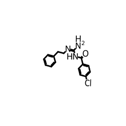 NC(=NCCc1ccccc1)NC(=O)c1ccc(Cl)cc1